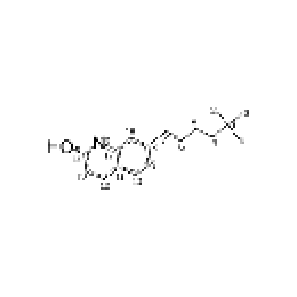 CC(C)(C)CCC=Cc1ccc2ccc(O)nc2c1